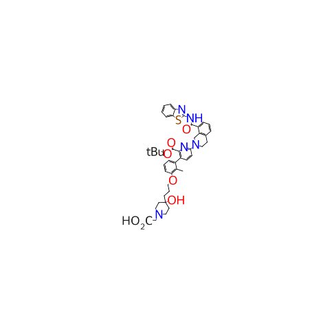 Cc1c(OCCCC2(O)CCN(CC(=O)O)CC2)cccc1-c1ccc(N2CCc3cccc(C(=O)Nc4nc5ccccc5s4)c3C2)nc1C(=O)OC(C)(C)C